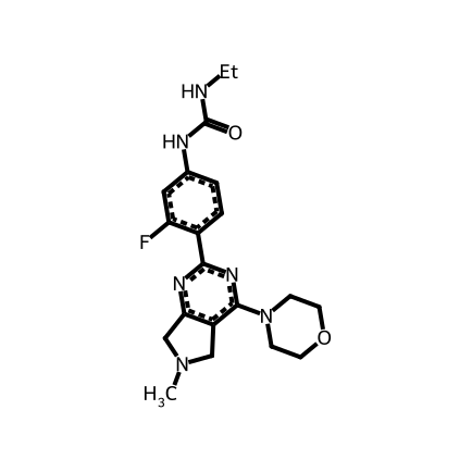 CCNC(=O)Nc1ccc(-c2nc3c(c(N4CCOCC4)n2)CN(C)C3)c(F)c1